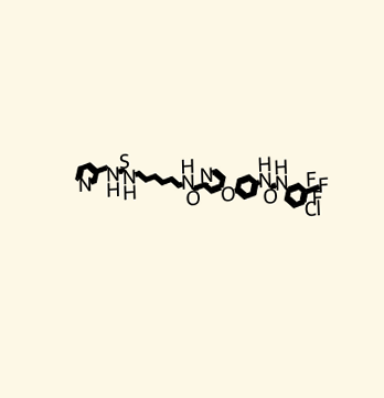 O=C(Nc1ccc(Oc2ccnc(C(=O)NCCCCCCNC(=S)NCc3cccnc3)c2)cc1)Nc1ccc(Cl)c(C(F)(F)F)c1